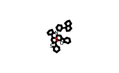 c1cc(-c2cccc3ccccc23)cc(N(c2ccc3oc4ccccc4c3c2)c2ccccc2-c2ccc3c(c2)sc2ccccc23)c1